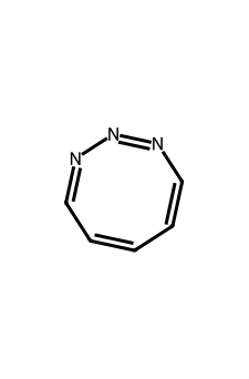 C1=C\C=N/N=N\C=C/1